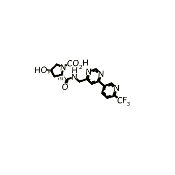 O=C(NCc1cc(-c2ccc(C(F)(F)F)nc2)ncn1)[C@@H]1C[C@@H](O)CN1C(=O)O